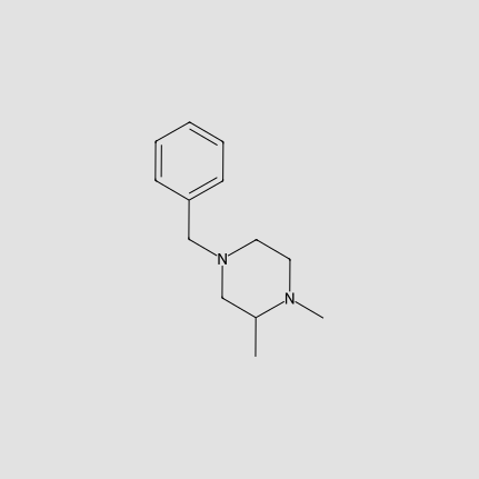 CC1CN(Cc2ccccc2)CCN1C